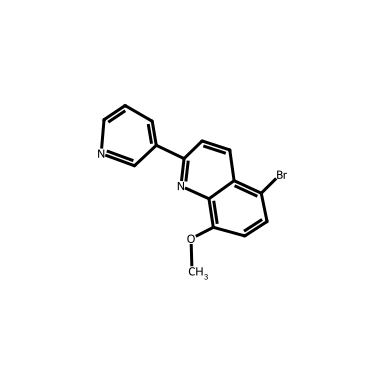 COc1ccc(Br)c2ccc(-c3cccnc3)nc12